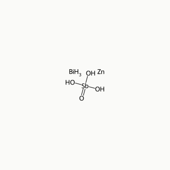 [BiH3].[O]=[Sb]([OH])([OH])[OH].[Zn]